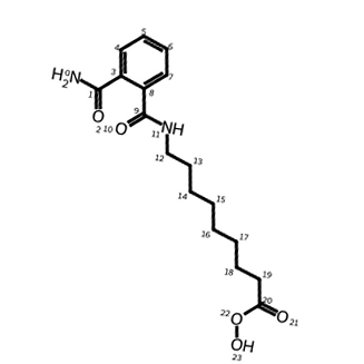 NC(=O)c1ccccc1C(=O)NCCCCCCCCC(=O)OO